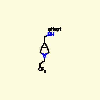 CCCCCCCNCC1C2CN(CCC(F)(F)F)CC12